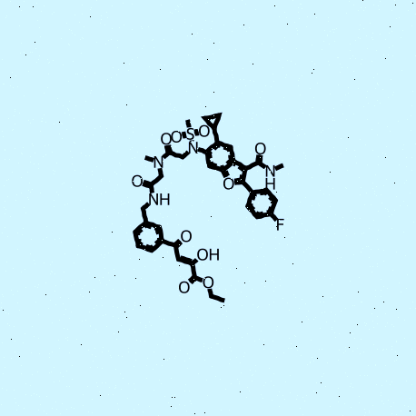 CCOC(=O)C(O)=CC(=O)c1cccc(CNC(=O)CN(C)C(=O)CN(c2cc3oc(-c4ccc(F)cc4)c(C(=O)NC)c3cc2C2CC2)S(C)(=O)=O)c1